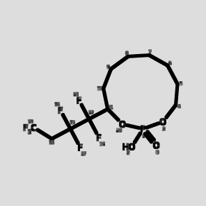 O=P1(O)OCCCCCCCC(C(F)(F)C(F)(F)CC(F)(F)F)O1